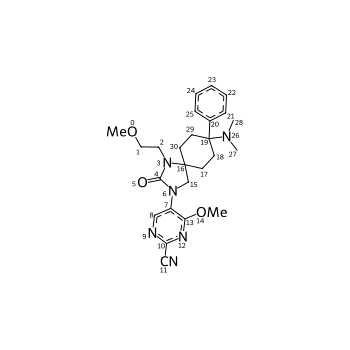 COCCN1C(=O)N(c2cnc(C#N)nc2OC)CC12CCC(c1ccccc1)(N(C)C)CC2